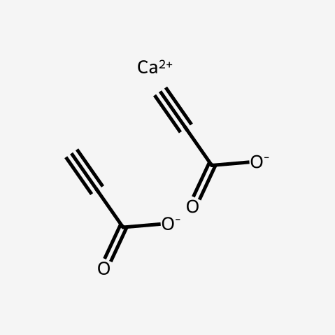 C#CC(=O)[O-].C#CC(=O)[O-].[Ca+2]